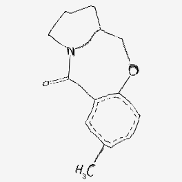 Cc1ccc2c(c1)C(=O)N1CCCC1CO2